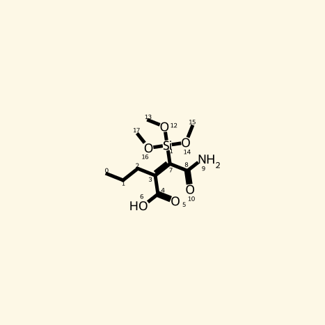 CCC/C(C(=O)O)=C(/C(N)=O)[Si](OC)(OC)OC